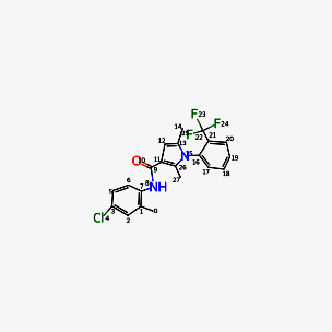 Cc1cc(Cl)ccc1NC(=O)c1cc(C)n(-c2ccccc2C(F)(F)F)c1C